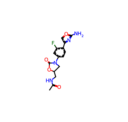 CC(=O)NCC1CN(c2ccc(-c3coc(N)n3)c(F)c2)C(=O)O1